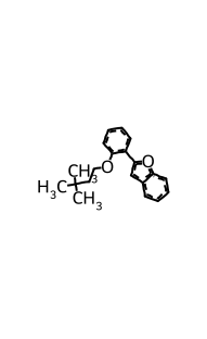 CC(C)(C)CCOc1ccccc1-c1cc2ccccc2o1